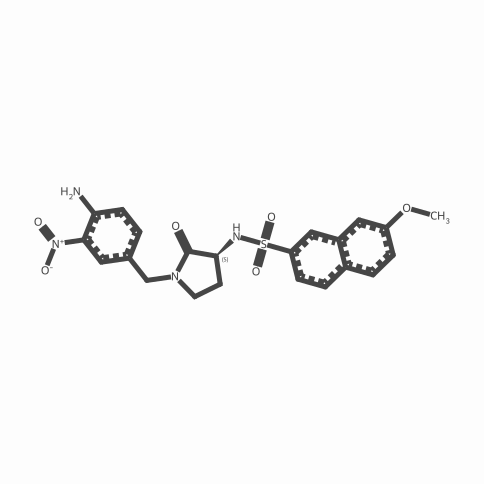 COc1ccc2ccc(S(=O)(=O)N[C@H]3CCN(Cc4ccc(N)c([N+](=O)[O-])c4)C3=O)cc2c1